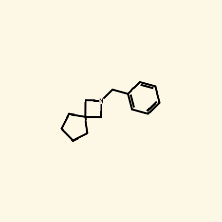 c1ccc(CN2CC3(CCCC3)C2)cc1